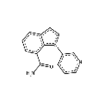 NC(=O)c1cccc2ccn(-c3cccnc3)c12